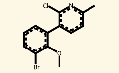 COc1c(Br)cccc1-c1ccc(C)nc1Cl